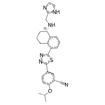 CC(C)Oc1ccc(-c2nnc(-c3cccc4c3CCC[C@@H]4NCc3ncc[nH]3)s2)cc1C#N